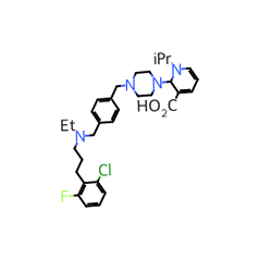 CCN(CCCc1c(F)cccc1Cl)Cc1ccc(CN2CCN(C3C(C(=O)O)=CC=CN3C(C)C)CC2)cc1